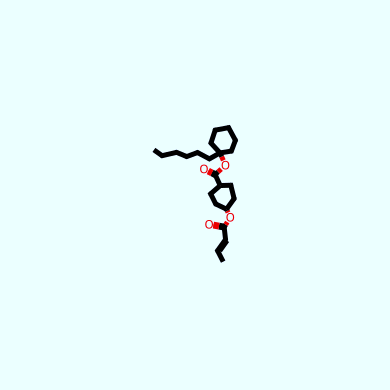 C/C=C/C(=O)OC1CCC(C(=O)OC2(CCCCCC)CCCCC2)CC1